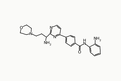 Nc1ccccc1NC(=O)c1ccc(-c2ccnc(C(N)CCN3CCOCC3)n2)cc1